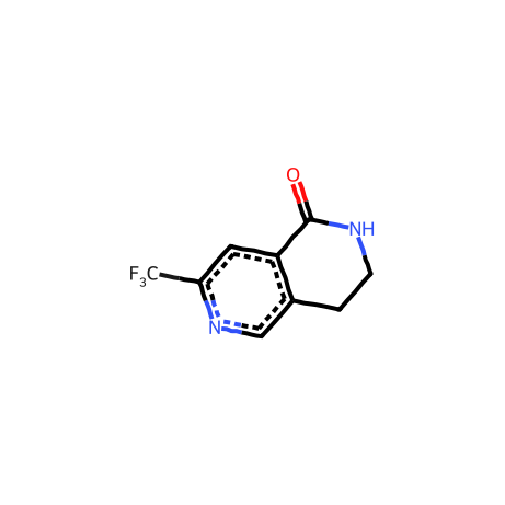 O=C1NCCc2cnc(C(F)(F)F)cc21